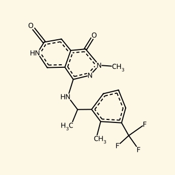 Cc1c(C(C)Nc2nn(C)c(=O)c3cc(=O)[nH]cc23)cccc1C(F)(F)F